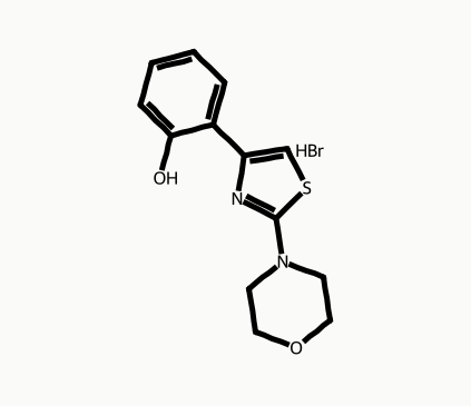 Br.Oc1ccccc1-c1csc(N2CCOCC2)n1